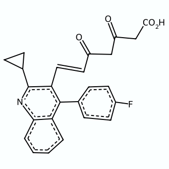 O=C(O)CC(=O)CC(=O)C=Cc1c(C2CC2)nc2ccccc2c1-c1ccc(F)cc1